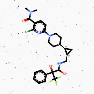 CN(C)C(=O)c1ccc(N2CCC([C@H]3C[C@H]3CNC(O)C(O)(c3ccccc3)C(F)(F)F)CC2)nc1Cl